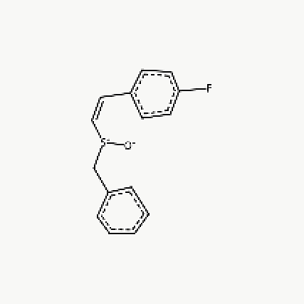 [O-][S+](/C=C\c1ccc(F)cc1)Cc1ccccc1